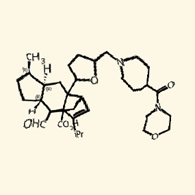 CC(C)C1=CC2CC3(C=O)[C@@H]4CC[C@@H](C)[C@H]4CC2(C2CCC(CN4CCC(C(=O)N5CCOCC5)CC4)O2)C13C(=O)O